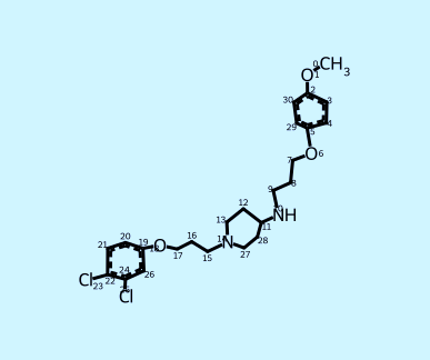 COc1ccc(OCCCNC2CCN(CCCOc3ccc(Cl)c(Cl)c3)CC2)cc1